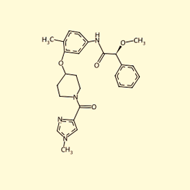 CO[C@H](C(=O)Nc1ccc(C)c(OC2CCN(C(=O)c3cn(C)cn3)CC2)c1)c1ccccc1